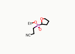 CCOP(=O)(CCC#N)C1CCCO1